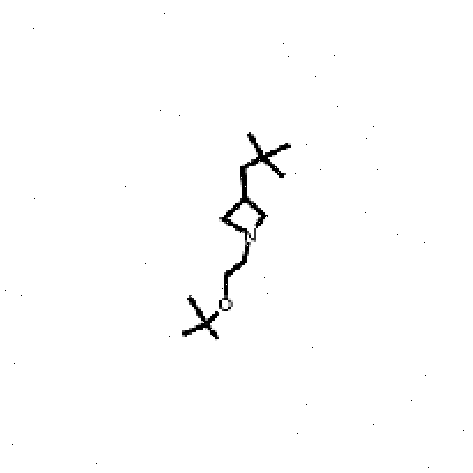 CC(C)(C)CC1CN(CCOC(C)(C)C)C1